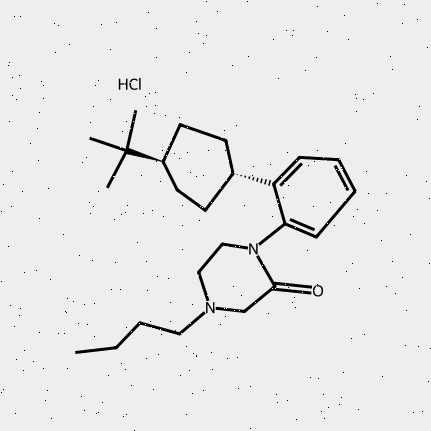 CCCCN1CCN(c2ccccc2[C@H]2CC[C@H](C(C)(C)C)CC2)C(=O)C1.Cl